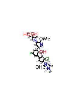 COc1ncc(-c2cc(F)cc(-c3ccc(N(C=O)/C=C\N(C)C)c(Cl)c3)c2O)cc1N1CC(O)(CO)C1